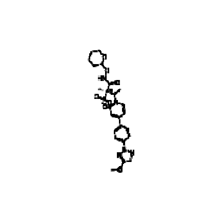 COc1cnn(-c2ccc(-c3ccn(C(C)[C@](C)(C(=O)NOC4CCCCO4)S(C)(=O)=O)c(=O)c3)cc2)n1